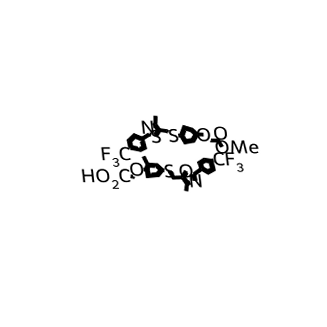 COC(=O)COc1ccc(SCc2sc(-c3ccc(C(F)(F)F)cc3)nc2C)cc1.Cc1cc(SCc2oc(-c3ccc(C(F)(F)F)cc3)nc2C)ccc1OCC(=O)O